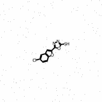 Sc1nnc(-c2cc3cc(Cl)ccc3o2)o1